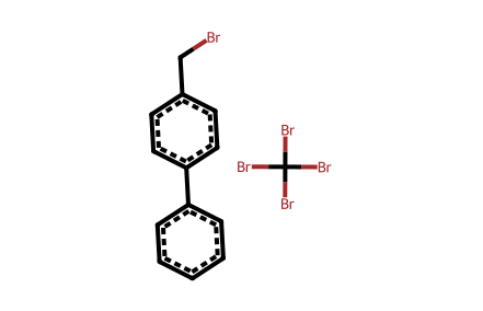 BrC(Br)(Br)Br.BrCc1ccc(-c2ccccc2)cc1